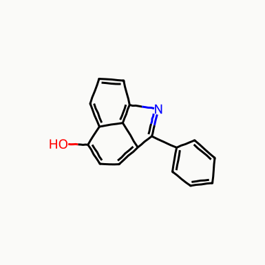 Oc1ccc2c3c(cccc13)N=C2c1ccccc1